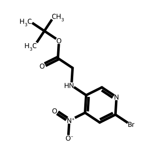 CC(C)(C)OC(=O)CNc1cnc(Br)cc1[N+](=O)[O-]